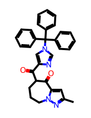 Cc1cc2n(n1)CCCC(C(=O)c1cn(C(c3ccccc3)(c3ccccc3)c3ccccc3)cn1)C2=O